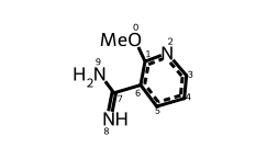 COc1ncccc1C(=N)N